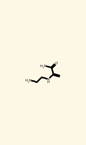 C=C(NCCN)C(N)=O